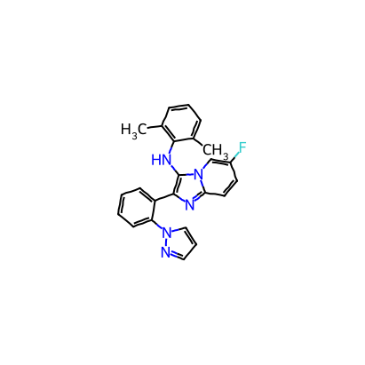 Cc1cccc(C)c1Nc1c(-c2ccccc2-n2cccn2)nc2ccc(F)cn12